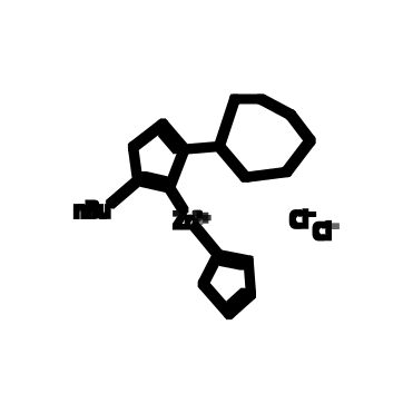 CCCCC1=[C]([Zr+2][C]2=CC=CC2)C(C2CCCCCC2)=CC1.[Cl-].[Cl-]